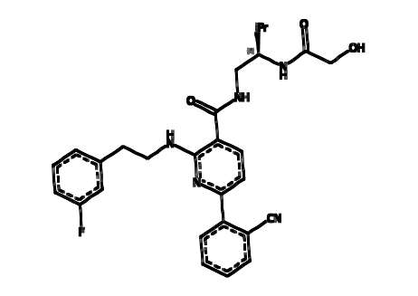 CC(C)[C@H](CNC(=O)c1ccc(-c2ccccc2C#N)nc1NCCc1cccc(F)c1)NC(=O)CO